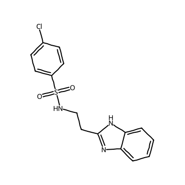 O=S(=O)(NCCc1nc2ccccc2[nH]1)c1ccc(Cl)cc1